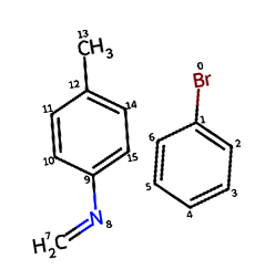 Brc1ccccc1.C=Nc1ccc(C)cc1